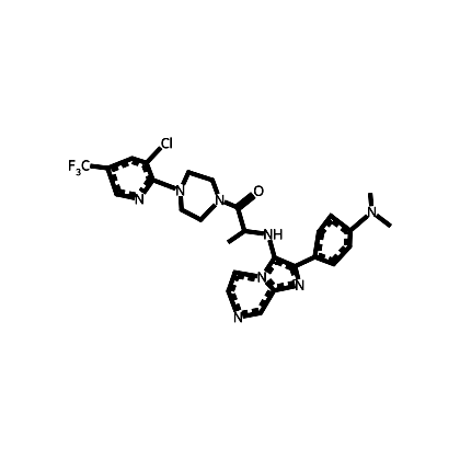 CC(Nc1c(-c2ccc(N(C)C)cc2)nc2cnccn12)C(=O)N1CCN(c2ncc(C(F)(F)F)cc2Cl)CC1